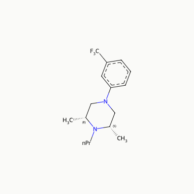 CCCN1[C@H](C)CN(c2cccc(C(F)(F)F)c2)C[C@@H]1C